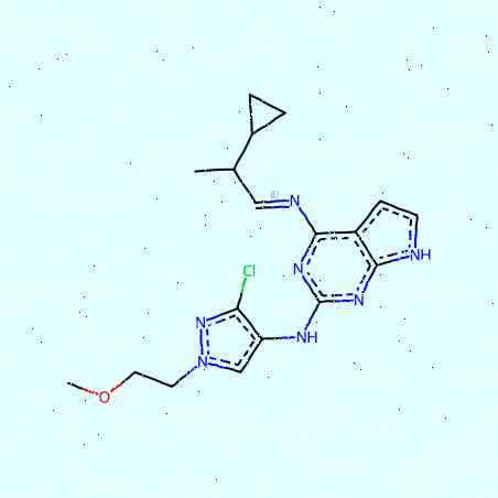 COCCn1cc(Nc2nc(/N=C/C(C)C3CC3)c3cc[nH]c3n2)c(Cl)n1